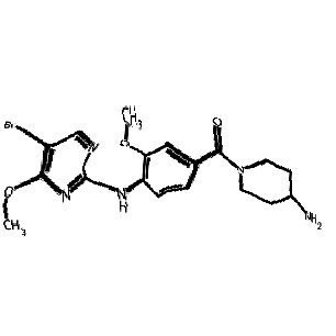 COc1cc(C(=O)N2CCC(N)CC2)ccc1Nc1ncc(Br)c(OC)n1